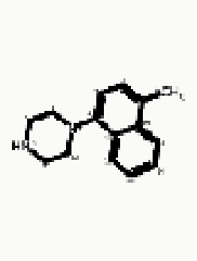 Cc1ccc(N2CCNCC2)c2ccccc12